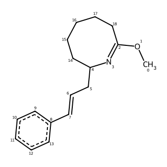 CO/C1=N/C(C/C=C/c2ccccc2)CCCCC1